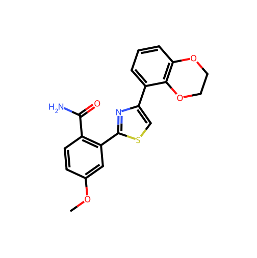 COc1ccc(C(N)=O)c(-c2nc(-c3cccc4c3OCCO4)cs2)c1